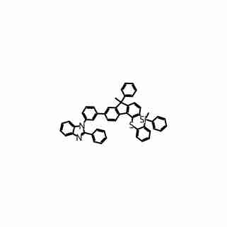 CC1(c2ccccc2)c2cc(-c3cccc(-n4c(-c5ccccc5)nc5ccccc54)c3)ccc2-c2c1ccc1c2Sc2ccccc2[Si]1(C)c1ccccc1